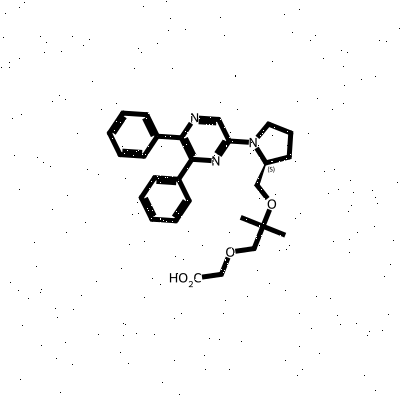 CC(C)(COCC(=O)O)OC[C@@H]1CCCN1c1cnc(-c2ccccc2)c(-c2ccccc2)n1